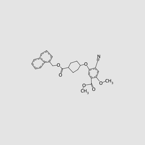 COC(=O)c1cc(OC2CCC(C(=O)OCc3cccc4ccccc34)CC2)c(C#N)cc1OC